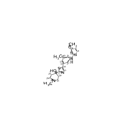 COc1ccnc(Nc2cc(C)cc(-c3cnc(C4(O)CCN(C)CC4)s3)c2)n1